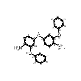 Nc1ccc(Oc2ccc(N)c(Oc3ccccc3)c2)cc1Oc1ccccc1